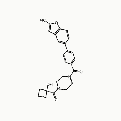 N#Cc1cc2cc(-c3ccc(C(=O)N4CCN(C(=O)C5(O)CCC5)CC4)cc3)ccc2o1